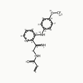 C=CC(=O)NCC(=N)c1ncccc1Nc1ccc(OC(F)(F)F)cc1